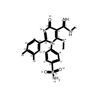 CNC(=N)c1c(SC)n(-c2ccc(S(N)(=O)=O)cc2)c(-c2ccc(C)c(C)c2)nc1=O